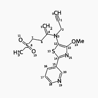 C#CCN(C(=C)CCS(C)(=O)=O)c1sc(-c2cccnc2)nc1OC